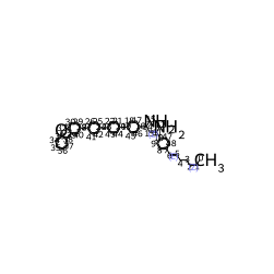 C/C=C\CC/C=C/c1ccc(/C(N)=C/C(N)c2ccc(-c3ccc(-c4ccc(-c5ccc6oc7ccccc7c6c5)cc4)cc3)cc2)cc1